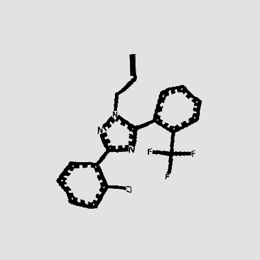 C=CCn1nc(-c2ccccc2Cl)nc1-c1ccccc1C(F)(F)F